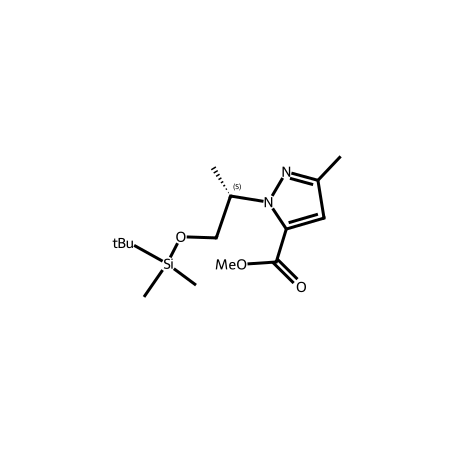 COC(=O)c1cc(C)nn1[C@@H](C)CO[Si](C)(C)C(C)(C)C